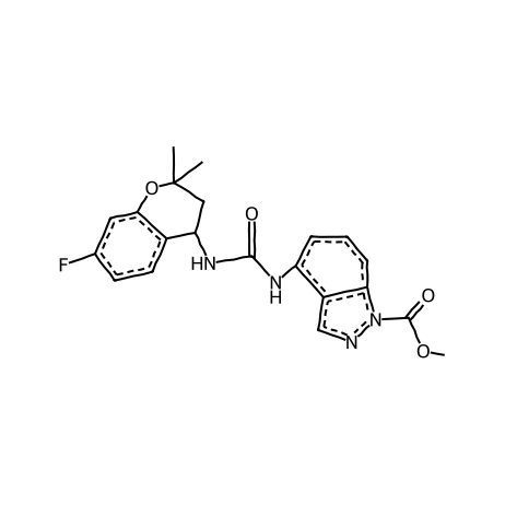 COC(=O)n1ncc2c(NC(=O)NC3CC(C)(C)Oc4cc(F)ccc43)cccc21